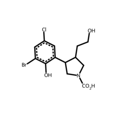 O=C(O)N1CC(CCO)C(c2cc(Cl)cc(Br)c2O)C1